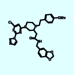 COc1ccc(CCN2CCN(c3cc(Cl)nc(-n4ccnc4)n3)CC2CC(=O)NCc2ccc3c(c2)OCO3)cc1